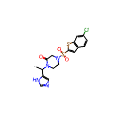 [CH2]C(c1cnc[nH]1)N1CCN(S(=O)(=O)c2cc3ccc(Cl)cc3s2)CC1=O